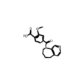 COc1cc(C(=O)N2CCCCc3ccncc32)ccc1C(=O)O